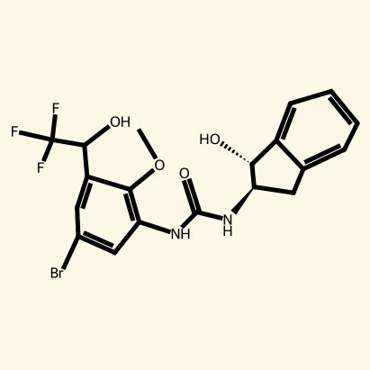 COc1c(NC(=O)N[C@@H]2Cc3ccccc3[C@H]2O)cc(Br)cc1C(O)C(F)(F)F